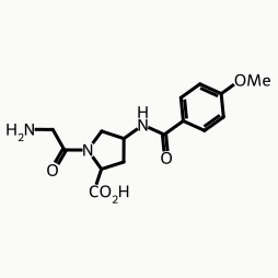 COc1ccc(C(=O)NC2CC(C(=O)O)N(C(=O)CN)C2)cc1